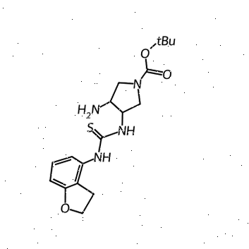 CC(C)(C)OC(=O)N1CC(N)C(NC(=S)Nc2cccc3c2CCO3)C1